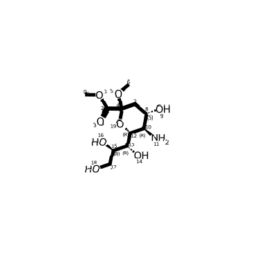 COC(=O)C1(OC)C[C@H](O)[C@@H](N)[C@H]([C@H](O)[C@H](O)CO)O1